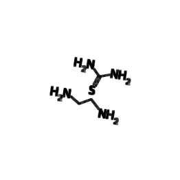 NC(N)=S.NCCN